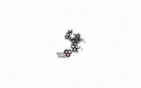 COc1ccc(CN(Cc2ccc(OC)cc2)c2nc(C)c(C(F)(F)F)c(-c3nc4c5c(nc(OC[C@@]67CCCN6CC6(CC6(F)F)C7)nc5c3F)N3C[C@H]5CC[C@@H]([C@H]3[C@H](C(F)(F)F)O4)N5C(=O)OC(C)(C)C)c2F)cc1